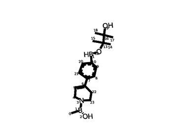 CB(O)N1CC=C(c2ccc(BOC(C)(C)C(C)(C)O)cc2)CC1